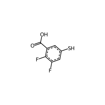 O=C(O)c1cc(S)cc(F)c1F